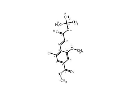 COC(=O)c1cc(Cl)c(/C=C/C(=O)OC(C)(C)C)c(OC)c1